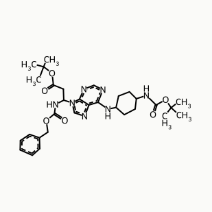 CC(C)(C)OC(=O)CC(NC(=O)OCc1ccccc1)n1cnc2c(NC3CCC(NC(=O)OC(C)(C)C)CC3)ncnc21